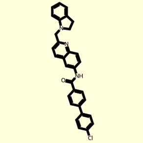 O=C(Nc1ccc2nc(CN3CCc4ccccc43)ccc2c1)c1ccc(-c2ccc(Cl)cc2)cc1